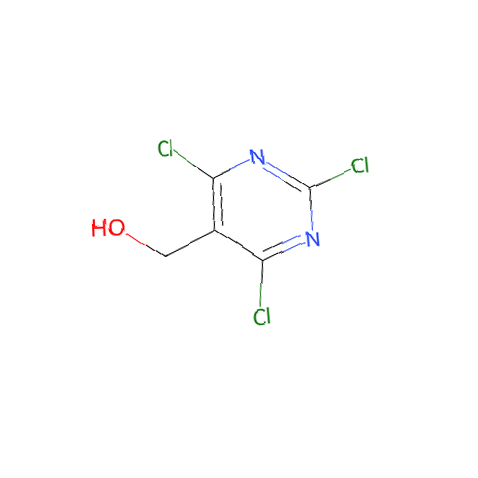 OCc1c(Cl)nc(Cl)nc1Cl